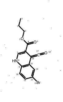 CCCOC(=O)C1=CNc2ccc(Br)cc2C1=C=O